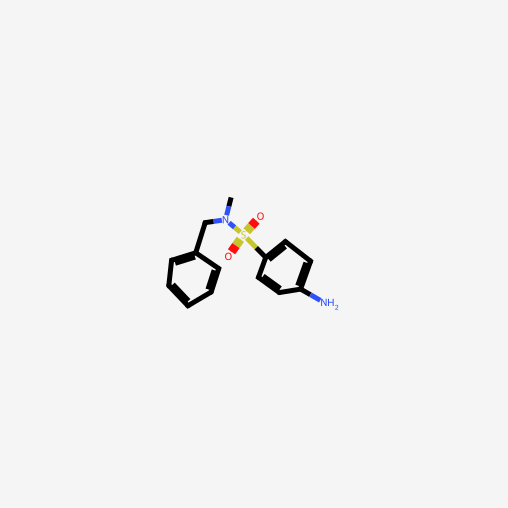 CN(Cc1ccccc1)S(=O)(=O)c1ccc(N)cc1